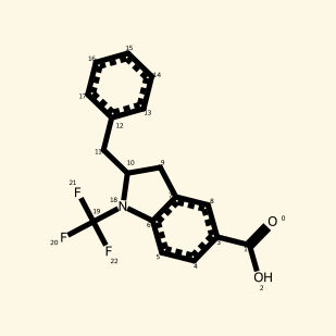 O=C(O)c1ccc2c(c1)CC(Cc1ccccc1)N2C(F)(F)F